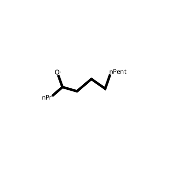 CCCCCCCCC([O])CCC